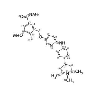 CNC(=O)c1cc(COc2cnc(Nc3ccc(N4C=C(C)N(C)[C@@H](C)C4)nc3)nc2)c(F)c(OC)c1